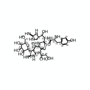 N=C1NCC(C(O)[C@H](NC(=O)[C@@H](N)Cc2ccc(O)cc2)C(=O)N[C@H](C(=O)N[C@H]([C]=O)CO)C(O)C2CNC(=N)N2C2OC(CO)C(O)C(O)C2O)N1